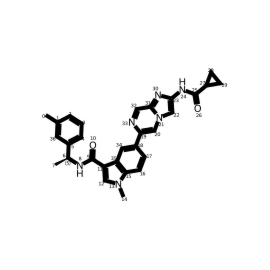 Cc1cccc([C@H](C)NC(=O)c2cn(C)c3ccc(-c4cn5cc(NC(=O)C6CC6)nc5cn4)cc23)c1